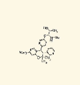 CCC(C)NC(Oc1ccc([C@@H]2c3ccc(OC)cc3OC(C)(C)[C@H]2c2ccccc2)cc1)[C@H](C)O